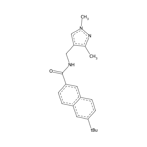 Cc1nn(C)cc1CNC(=O)c1ccc2cc(C(C)(C)C)ccc2c1